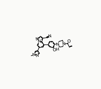 C=CC(=O)N1CCN(c2ccc(-c3cc(-c4cnn(C)c4)cn4ncc(C#N)c34)cc2O)CC1